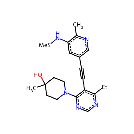 CCc1ncnc(N2CCC(C)(O)CC2)c1C#Cc1cnc(C)c(NSC)c1